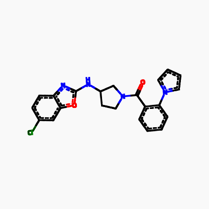 O=C(c1ccccc1-n1cccc1)N1CCC(Nc2nc3ccc(Cl)cc3o2)C1